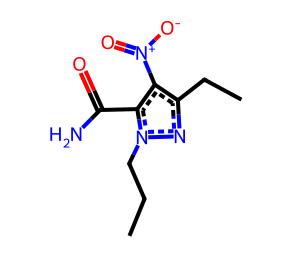 CCCn1nc(CC)c([N+](=O)[O-])c1C(N)=O